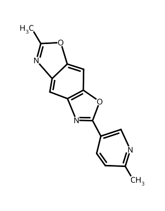 Cc1ccc(-c2nc3cc4nc(C)oc4cc3o2)cn1